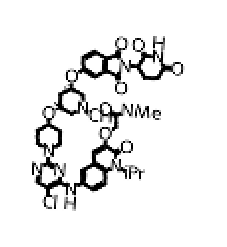 CNC(=O)COc1cc2cc(Nc3nc(N4CCC(O[C@H]5C[C@@H](Oc6ccc7c(c6)C(=O)N(C6CCC(=O)NC6=O)C7=O)CN(C)C5)CC4)ncc3Cl)ccc2n(C(C)C)c1=O